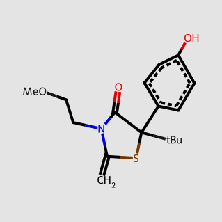 C=C1SC(c2ccc(O)cc2)(C(C)(C)C)C(=O)N1CCOC